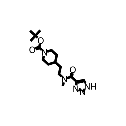 CN(CCC1CCN(C(=O)OC(C)(C)C)CC1)C(=O)c1c[nH]nn1